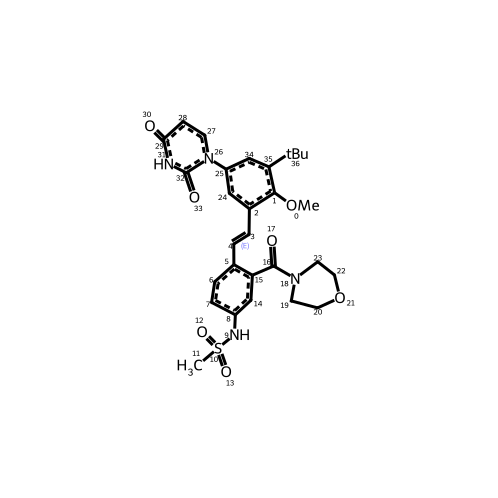 COc1c(/C=C/c2ccc(NS(C)(=O)=O)cc2C(=O)N2CCOCC2)cc(-n2ccc(=O)[nH]c2=O)cc1C(C)(C)C